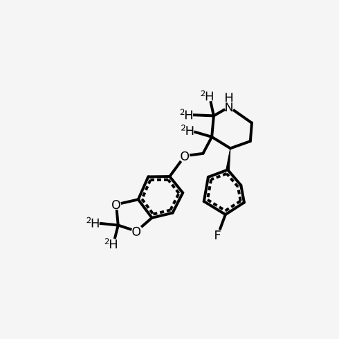 [2H]C1([2H])Oc2ccc(OCC3([2H])[C@H](c4ccc(F)cc4)CCNC3([2H])[2H])cc2O1